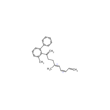 C=C/C=C\C=C(/C)CCC(=C)c1c(C)cccc1-c1ccccc1